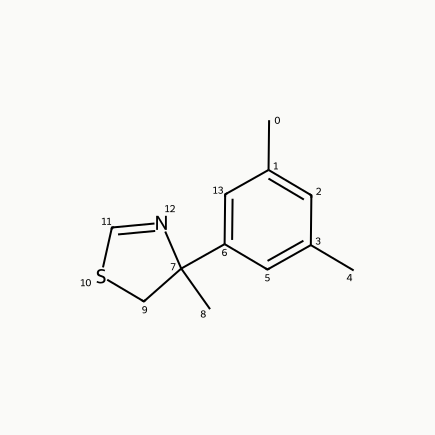 Cc1cc(C)cc(C2(C)CSC=N2)c1